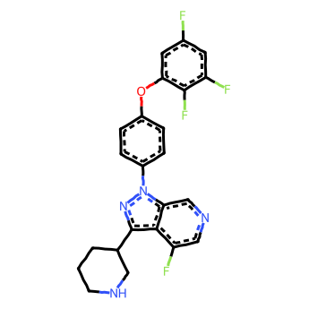 Fc1cc(F)c(F)c(Oc2ccc(-n3nc(C4CCCNC4)c4c(F)cncc43)cc2)c1